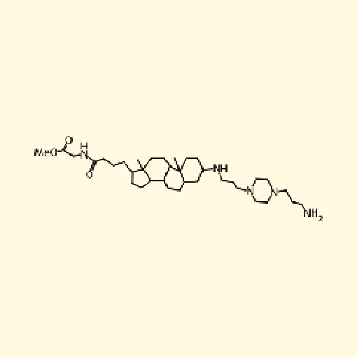 COC(=O)CNC(=O)CCCC1CCC2C3CCC4CC(NCCCN5CCN(CCCN)CC5)CCC4(C)C3CCC12C